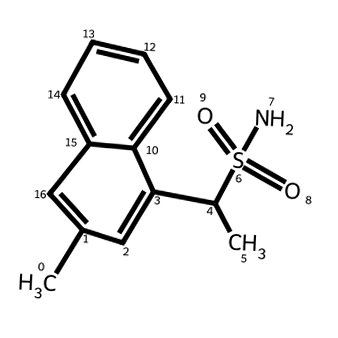 Cc1cc(C(C)S(N)(=O)=O)c2ccccc2c1